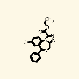 CCOC(=O)c1nnc2n1-c1ccc(Cl)cc1C(c1ccccc1)=NC2